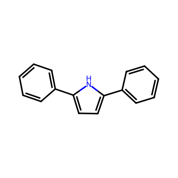 c1ccc(-c2ccc(-c3ccccc3)[nH]2)cc1